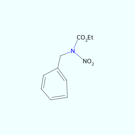 CCOC(=O)N(Cc1ccccc1)[N+](=O)[O-]